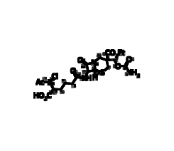 CCOC(=O)C1(COC(N)=O)CS[C@@H]2C(NC(=O)CCCC(C(=O)O)N(Cl)C(C)=O)C(=O)N2C1